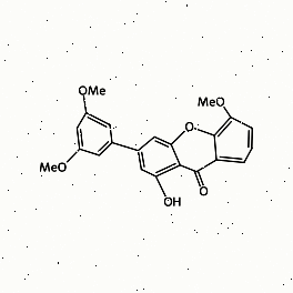 COc1cc(OC)cc(-c2cc(O)c3c(=O)c4cccc(OC)c4oc3c2)c1